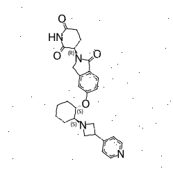 O=C1CC[C@@H](N2Cc3cc(O[C@H]4CCCC[C@@H]4N4CC(c5ccncc5)C4)ccc3C2=O)C(=O)N1